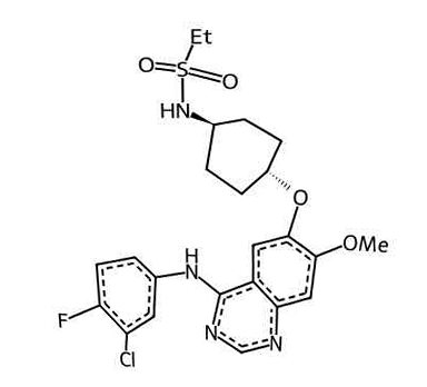 CCS(=O)(=O)N[C@H]1CC[C@H](Oc2cc3c(Nc4ccc(F)c(Cl)c4)ncnc3cc2OC)CC1